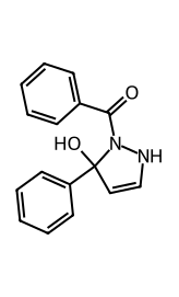 O=C(c1ccccc1)N1NC=CC1(O)c1ccccc1